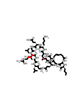 CCCC[C@@H](C=O)NC1NC(=O)CC/C=C/CN([C@@H](N[C@@H](C)C=O)C(=O)NN[C@H](C(=O)N[C@@H](CCCCN)C(=O)N[C@@H](CCC(=O)O)C(=O)N[C@@H](CC(C)C)C(=O)N[C@@H](CCCNC(=N)N)C(=O)N[C@@H](CC(N)=O)C(=O)N[C@@H](CC(C)C)C(=O)CN)[C@@H](C)CC)C(=O)[C@H](N[C@H](C=O)CCC(=O)O)NC1=O